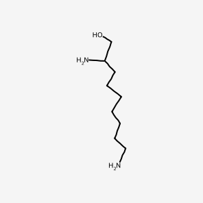 NCCCCCCCC(N)CO